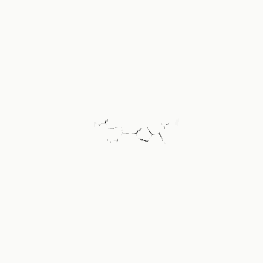 N=C(NO)c1ccc(C(CCC(N)=O)C(N)=O)cc1